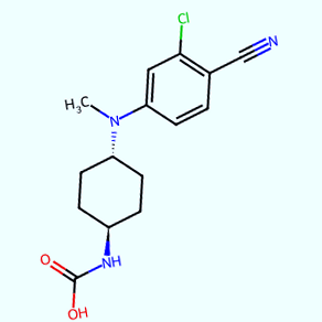 CN(c1ccc(C#N)c(Cl)c1)[C@H]1CC[C@H](NC(=O)O)CC1